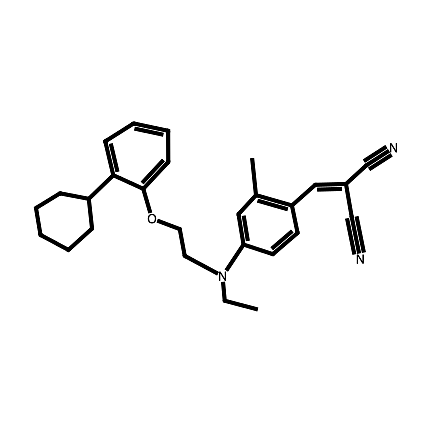 CCN(CCOc1ccccc1C1CCCCC1)c1ccc(C=C(C#N)C#N)c(C)c1